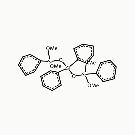 CO[Si](OC)(O[Si](O[Si](OC)(OC)c1ccccc1)(c1ccccc1)c1ccccc1)c1ccccc1